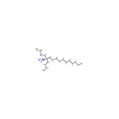 CCCCCCCCCCCC(N)(CCCC)CCCC